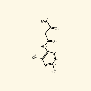 COC(=O)CC(=O)Nc1ccc(Cl)cc1Cl